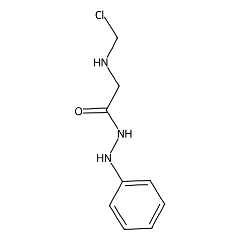 O=C(CNCCl)NNc1ccccc1